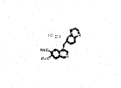 COc1cc2cncc(Cc3ccc4ncccc4c3)c2cc1OC.Cl.Cl